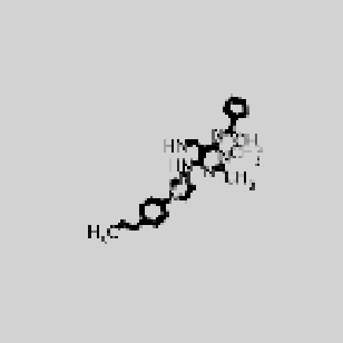 C=C(/N=c1/c(C=N)c(NN2CCN(C3=CCC(CCC)C=C3)C2)nc(C)n1C)C1=CC=CC1